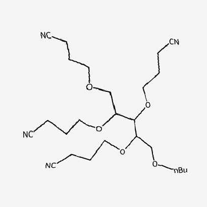 CCCCOCC(OCCCC#N)C(OCCCC#N)C(COCCCC#N)OCCCC#N